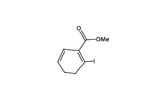 COC(=O)C1=C(I)CCC=C1